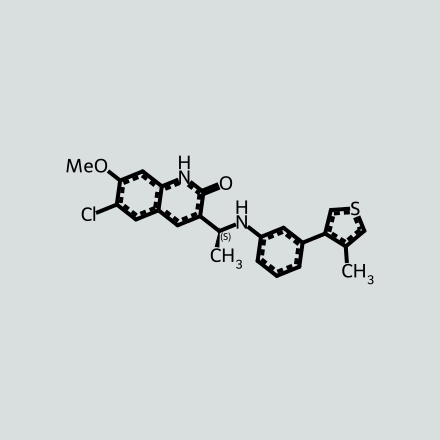 COc1cc2[nH]c(=O)c([C@H](C)Nc3cccc(-c4cscc4C)c3)cc2cc1Cl